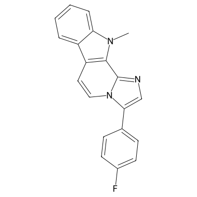 Cn1c2ccccc2c2ccn3c(-c4ccc(F)cc4)cnc3c21